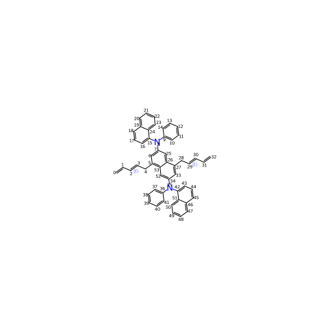 C=C/C=C/Cc1cc(N(c2ccccc2)c2cccc3ccccc23)cc2c(C/C=C/C=C)cc(N(c3ccccc3)c3cccc4ccccc34)cc12